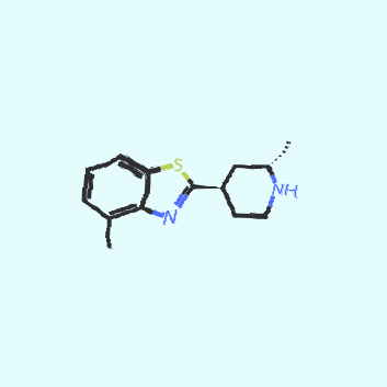 Cc1cccc2sc([C@@H]3CCN[C@@H](C)C3)nc12